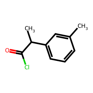 Cc1cccc(C(C)C(=O)Cl)c1